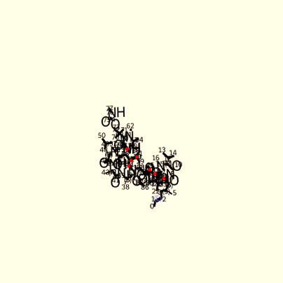 C/C=C/C[C@H](C)[C@@H]1ON(C(=O)[C@@H](C(C)C)N(C)C(=O)[C@@H](CC(C)C)N(C)C(=O)[C@H](CC(C)C)N(C)C(=O)[C@H](C)NC(=O)[C@@H](C)NC(=O)[C@H](CC(C)C)N(C)C(=O)[C@H](NC(=O)[C@@H](N(C)C(C)[C@@H](C)NC)C(C)(C)COC(=O)NC)C(C)C)[C@H]1C(=O)N[C@H](CC)C(=O)O